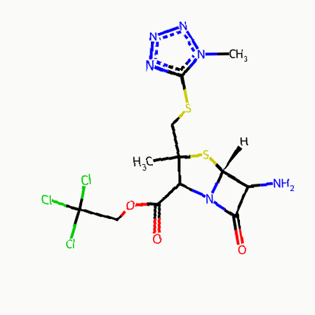 Cn1nnnc1SCC1(C)S[C@@H]2C(N)C(=O)N2C1C(=O)OCC(Cl)(Cl)Cl